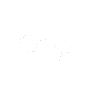 O=C(O)C(O)(Cc1ccccc1)C(F)(F)F